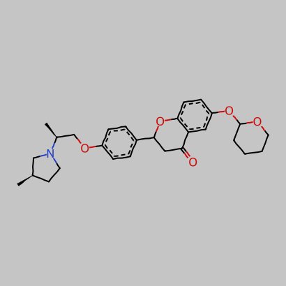 C[C@@H]1CCN([C@@H](C)COc2ccc(C3CC(=O)c4cc(OC5CCCCO5)ccc4O3)cc2)C1